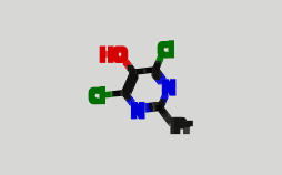 CC(C)c1nc(Cl)c(O)c(Cl)n1